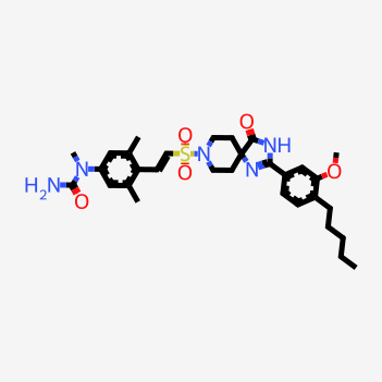 CCCCCc1ccc(C2=NC3(CCN(S(=O)(=O)C=Cc4c(C)cc(N(C)C(N)=O)cc4C)CC3)C(=O)N2)cc1OC